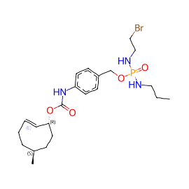 CCCNP(=O)(NCCBr)OCc1ccc(NC(=O)O[C@H]2/C=C/CC[C@H](C)CC2)cc1